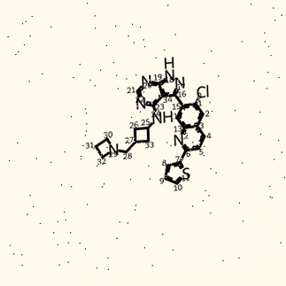 Clc1cc2ccc(-c3cccs3)nc2cc1-c1n[nH]c2ncnc(NC3CC(CN4CCC4)C3)c12